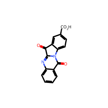 O=C(O)c1ccc2c(c1)C(=O)c1nc3ccccc3c(=O)n1-2